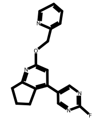 Fc1ncc(-c2cc(OCc3ccccn3)nc3c2CCC3)cn1